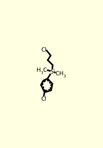 C[Si](C)(CCCCl)c1ccc(Cl)cc1